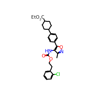 CCOC(=O)C1CCC(c2ccc(-c3onc(C)c3NC(=O)OCCc3ccccc3Cl)cc2)CC1